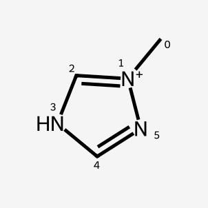 C[n+]1c[nH]cn1